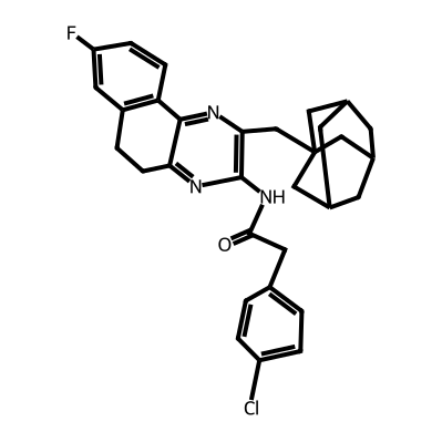 O=C(Cc1ccc(Cl)cc1)Nc1nc2c(nc1CC13CC4CC(CC(C4)C1)C3)-c1ccc(F)cc1CC2